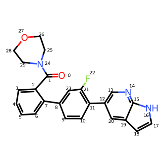 O=C(c1ccccc1-c1ccc(-c2cnc3[nH]ccc3c2)c(F)c1)N1CCOCC1